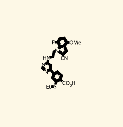 CCSc1cc(-c2cc(NCCn3c(C#N)cc4c(OC)ccc(F)c43)ncn2)ccc1C(=O)O